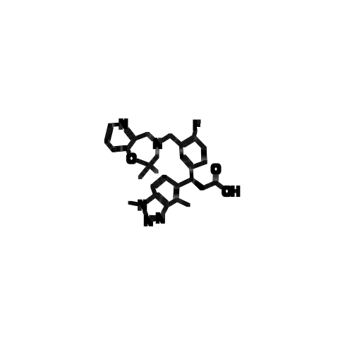 Cc1c([C@H](CC(=O)O)c2ccc(F)c(CN3Cc4ncccc4OC(C)(C)C3)c2)ccc2c1nnn2C